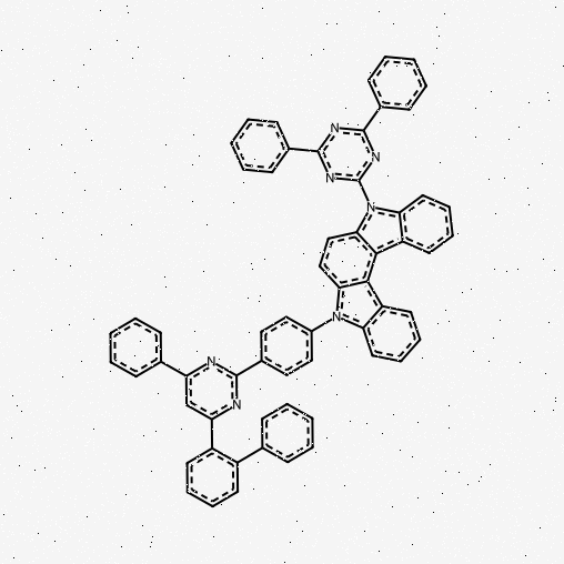 c1ccc(-c2cc(-c3ccccc3-c3ccccc3)nc(-c3ccc(-n4c5ccccc5c5c6c7ccccc7n(-c7nc(-c8ccccc8)nc(-c8ccccc8)n7)c6ccc54)cc3)n2)cc1